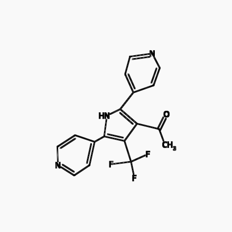 CC(=O)c1c(-c2ccncc2)[nH]c(-c2ccncc2)c1C(F)(F)F